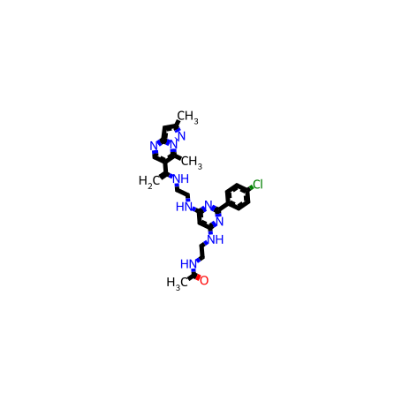 C=C(NCCNc1cc(NCCNC(C)=O)nc(-c2ccc(Cl)cc2)n1)c1cnc2cc(C)nn2c1C